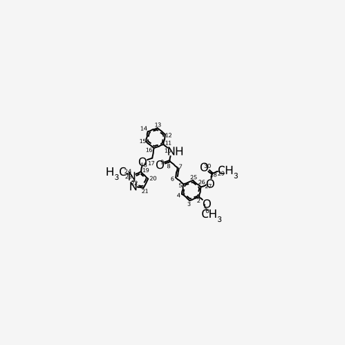 COc1ccc(/C=C/C(=O)Nc2ccccc2COc2ccnn2C)cc1OC(C)=O